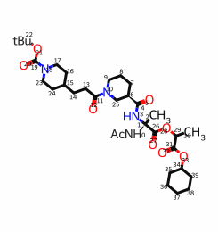 CC(=O)N[C@@](C)(NC(=O)[C@@H]1CCCN(C(=O)CCC2CCN(C(=O)OC(C)(C)C)CC2)C1)C(=O)OC(C)C(=O)OC1CCCCC1